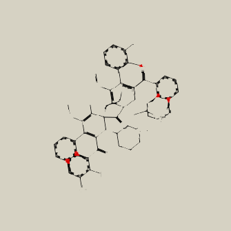 COC1=C(F)[C@](CCO)(C(=O)[C@@]2(CCO)C(F)=C(OC)C(c3cccc(F)c3C)=C(C(=O)c3cccc(O)c3F)[C@@H]2C2CCCNC2)[C@@H](C2CCCNC2)C(C(=O)c2cccc(O)c2F)=C1c1cccc(F)c1C